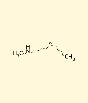 CCCCC[C@H]1CC1CCCCCNCC